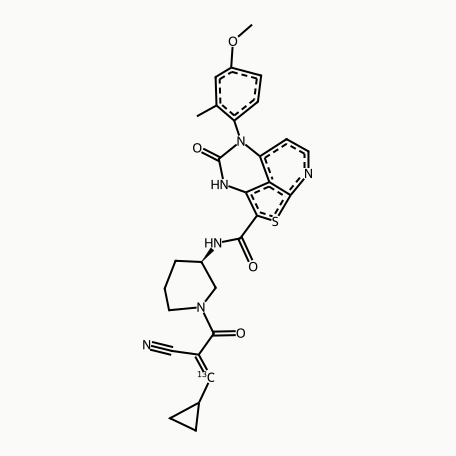 COc1ccc(N2C(=O)Nc3c(C(=O)N[C@@H]4CCCN(C(=O)/C(C#N)=[13CH]/C5CC5)C4)sc4nccc2c34)c(C)c1